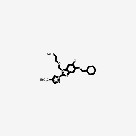 CCOC(=O)c1cnn(-c2nc3cc(SCC4CCCCC4)c(Cl)cc3n2COCCOC)c1